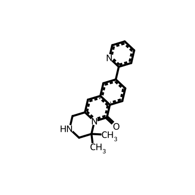 CC1(C)CNCc2cc3cc(-c4ccccn4)ccc3c(=O)n21